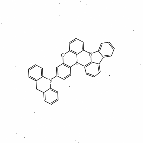 c1ccc2c(c1)Cc1ccccc1N2c1ccc2c(c1)Oc1cccc3c1B2c1cccc2c4ccccc4n-3c12